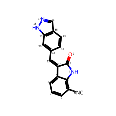 [C-]#[N+]c1cccc2c1NC(=O)C2=Cc1ccc2cn[nH]c2c1